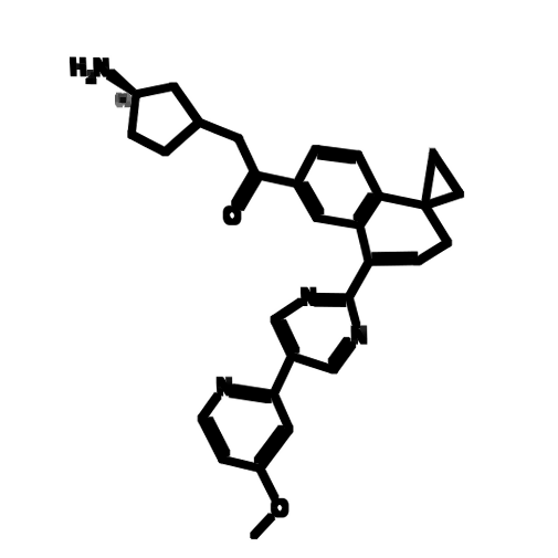 COc1ccnc(-c2cnc(C3=CCC4(CC4)c4ccc(C(=O)CC5CC[C@@H](N)C5)cc43)nc2)c1